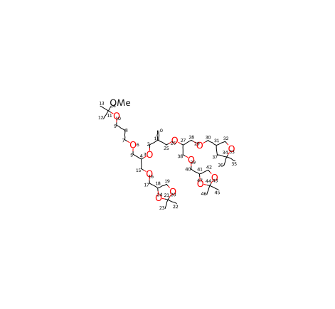 C=C(COC(COCCCOC(C)(C)OC)COCC1COC(C)(C)O1)COC(COCC1COC(C)(C)C1)COCC1COC(C)(C)O1